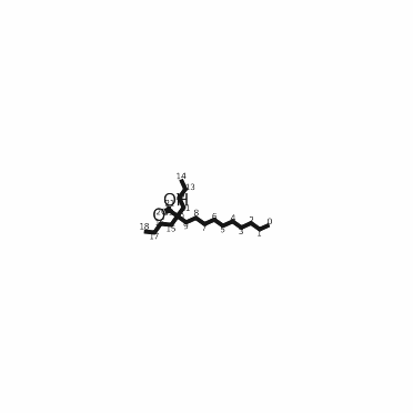 CCCCCCCCCCC(CCCC)(CCCC)C(=O)O